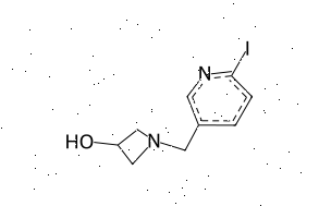 OC1CN(Cc2ccc(I)nc2)C1